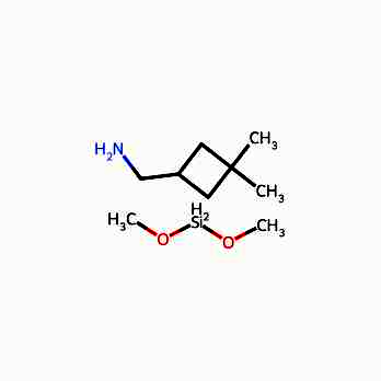 CC1(C)CC(CN)C1.CO[SiH2]OC